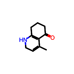 CC1=CCNC2=C1C(=O)CCC2